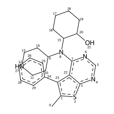 Cc1sc2ncnc(N(C3CCNCC3)C3CCCCC3O)c2c1-c1ccccc1